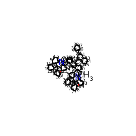 CN1c2ccccc2C(c2ccccc2)(c2ccccc2)c2cccc(-c3cccc4c(-c5cc(-c6ccccc6)cc6ccccc56)c5cccc(-c6cccc7c6N(C)c6ccccc6C7(c6ccccc6)c6ccccc6)c5cc34)c21